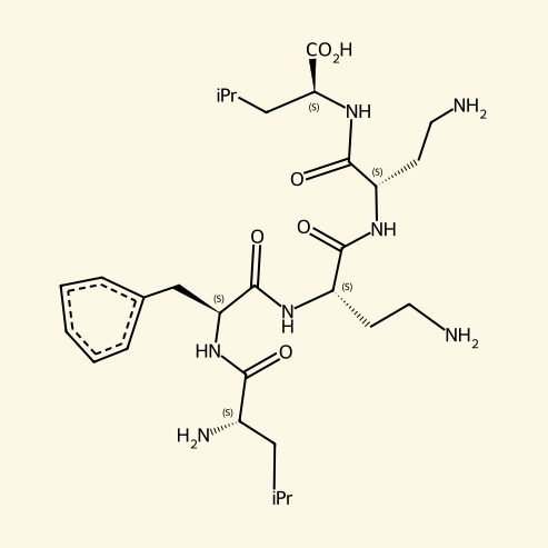 CC(C)C[C@H](NC(=O)[C@H](CCN)NC(=O)[C@H](CCN)NC(=O)[C@H](Cc1ccccc1)NC(=O)[C@@H](N)CC(C)C)C(=O)O